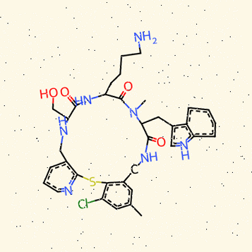 Cc1cc(Cl)c2c(c1)CNC(=O)C(Cc1c[nH]c3ccccc13)N(C)C(=O)C(CCCCN)NC(=O)C(CO)NCc1cccnc1S2